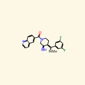 CN/C(=C1/CCN(C(=O)c2ccc3ncccc3c2)CC1=N)c1cc(F)cc(F)c1